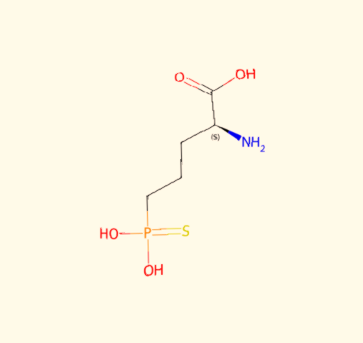 N[C@@H](CCCP(O)(O)=S)C(=O)O